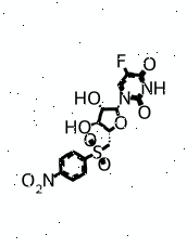 O=c1[nH]c(=O)n([C@@H]2O[C@H](CS(=O)(=O)c3ccc([N+](=O)[O-])cc3)[C@@H](O)[C@H]2O)cc1F